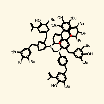 C=C(C)C1=C(O)C(C(C)(C)C)CC(CC2=CC(Cc3cc(C(C)(C)C)c(O)c(C(C)(C)C)c3)CC=C2N(CN(c2ccc(Cc3cc(C(=C)C)c(O)c(C(C)(C)C)c3)cc2)c2ccc(Cc3cc(C(C)(C)C)c(N=O)c(C(C)(C)C)c3)cc2Cc2cc(C(C)(C)C)c(O)c(C(C)(C)C)c2)C2C=CC(CC3=CC(C(C)(C)C)C(O)C(C(C)(C)C)=C3)=CC2)=C1